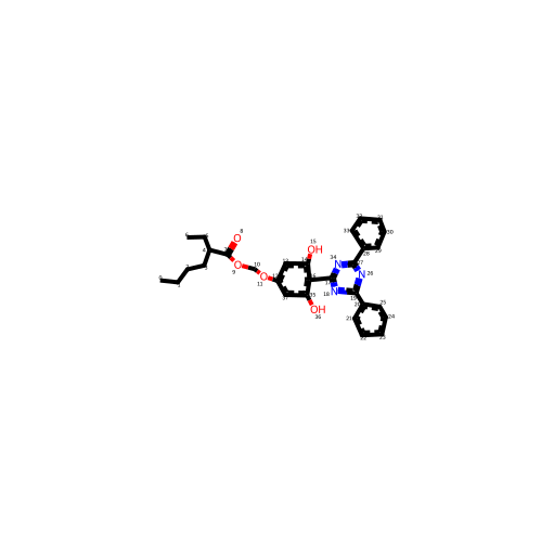 CCCCC(CC)C(=O)OCOc1cc(O)c(-c2nc(-c3ccccc3)nc(-c3ccccc3)n2)c(O)c1